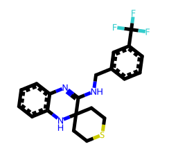 FC(F)(F)c1cccc(CNC2=Nc3ccccc3NC23CCSCC3)c1